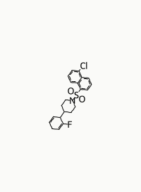 O=S(=O)(c1cccc2c(Cl)cccc12)N1CCC(C2C=CCC=C2F)CC1